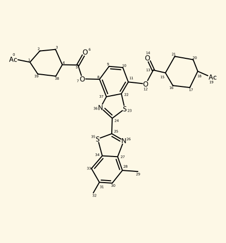 CC(=O)C1CCC(C(=O)Oc2ccc(OC(=O)C3CCC(C(C)=O)CC3)c3sc(-c4nc5c(C)cc(C)cc5s4)nc23)CC1